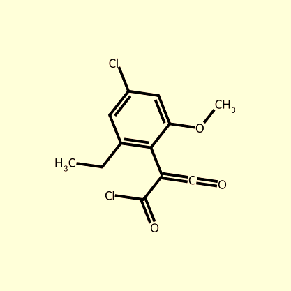 CCc1cc(Cl)cc(OC)c1C(=C=O)C(=O)Cl